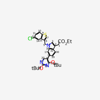 CCOC(=O)Cc1cn(Cc2csc3ccc(Cl)cc23)c2cc(-c3cnc(OC(C)(C)C)nc3OC(C)(C)C)ccc12